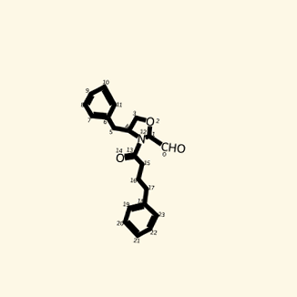 O=CC1OCC(Cc2ccccc2)N1C(=O)CCCc1ccccc1